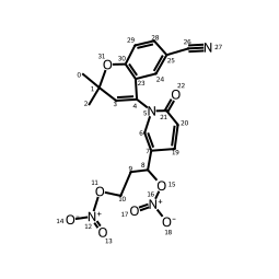 CC1(C)C=C(n2cc(C(CCO[N+](=O)[O-])O[N+](=O)[O-])ccc2=O)c2cc(C#N)ccc2O1